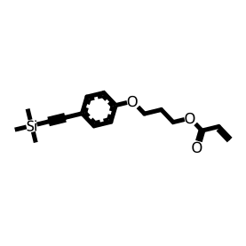 C=CC(=O)OCCCOc1ccc(C#C[Si](C)(C)C)cc1